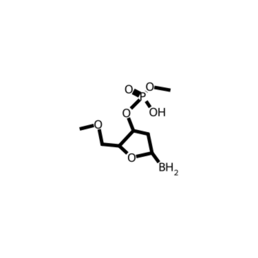 BC1CC(OP(=O)(O)OC)C(COC)O1